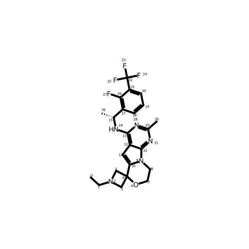 CCN1CC2(C1)OCCn1c2cc2c(N[C@H](C)c3cccc(C(F)(F)F)c3F)nc(C)nc21